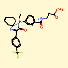 CC[C@H](c1ccc(C(=O)NCCC(=O)O)cc1)N1C(=O)C(c2ccc(C(F)(F)F)cc2)=NC12CCCCC2